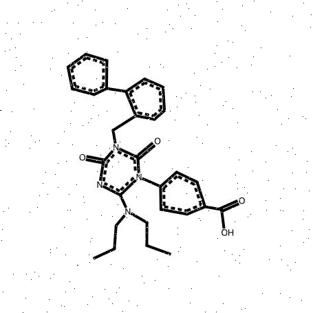 CCCN(CCC)c1nc(=O)n(Cc2ccccc2-c2ccccc2)c(=O)n1-c1ccc(C(=O)O)cc1